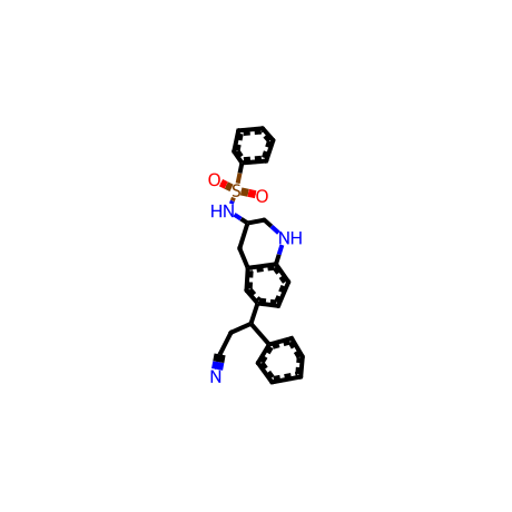 N#CCC(c1ccccc1)c1ccc2c(c1)CC(NS(=O)(=O)c1ccccc1)CN2